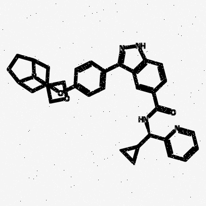 O=C(N[C@@H](c1ccccn1)C1CC1)c1ccc2[nH]nc(-c3ccc(OC4CC5CCC(C4)N5C4COC4)cc3)c2c1